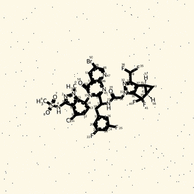 Cn1nc(NS(C)(=O)=O)c2c(Cl)ccc(-n3c(C(Cc4cc(F)cc(F)c4)NC(=O)Cn4nc(C(F)F)c5c4C(F)(F)[C@@H]4C[C@H]54)nc4ncc(Br)cc4c3=O)c21